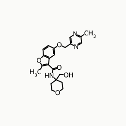 Cc1cnc(COc2ccc3oc(C)c(C(=O)NC4(CO)CCOCC4)c3c2)cn1